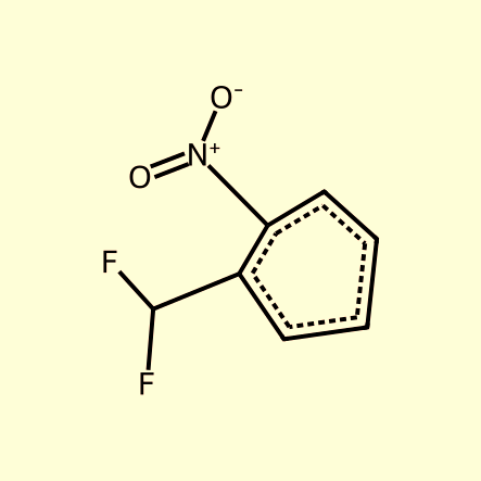 O=[N+]([O-])c1ccccc1C(F)F